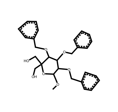 COC1OC(CO)(CO)C(OCc2ccccc2)C(OCc2ccccc2)C1OCc1ccccc1